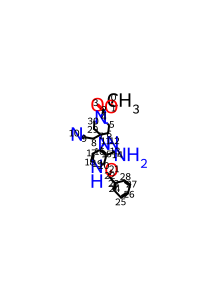 COC(=O)N1CCC(CC#N)(n2nc(N)c3c2C=CNC3OCc2ccccc2)CC1